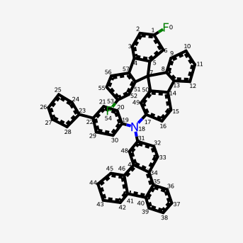 Fc1ccc2c(c1)C1(c3ccccc3-c3ccc(N(c4ccc(-c5ccccc5)cc4)c4ccc5c6ccccc6c6ccccc6c5c4)cc31)c1cc(F)ccc1-2